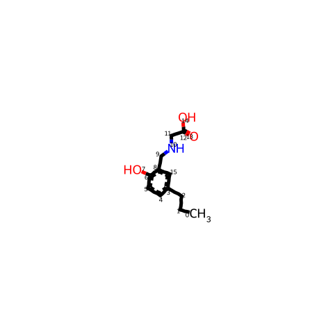 CCCc1ccc(O)c(CNCC(=O)O)c1